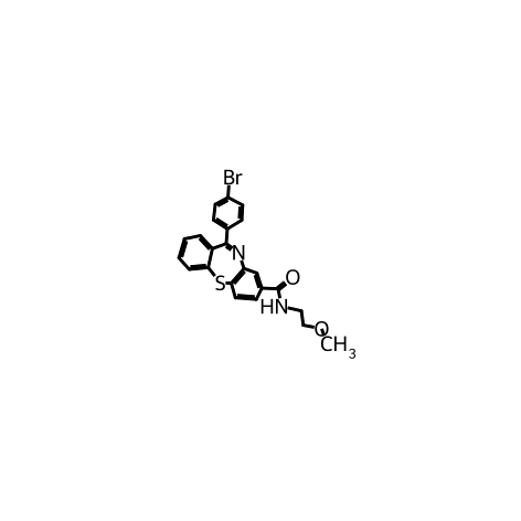 COCCNC(=O)c1ccc2c(c1)N=C(c1ccc(Br)cc1)c1ccccc1S2